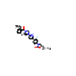 COc1cccc(OC)c1C(=O)N1CCN(c2ccc(-c3ccc(N4C[C@H](CNC(C)=O)OC4=O)cc3F)cn2)CC1